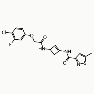 Cc1cc(C(=O)NC2=CC(NC(=O)COc3ccc(Cl)c(F)c3)C2)ns1